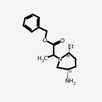 CC[C@@H]1CC[C@H](N)CN1C(C)C(=O)OCc1ccccc1